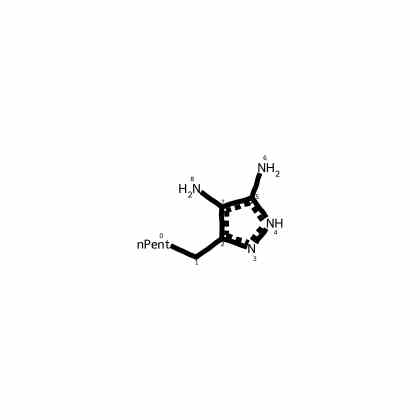 CCCCCCc1n[nH]c(N)c1N